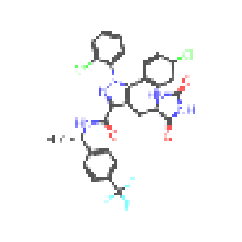 C[C@@H](NC(=O)c1nn(-c2ccccc2Cl)c(C2=CCC(Cl)C=C2)c1CC1NC(=O)NC1=O)c1ccc(C(F)(F)F)cc1